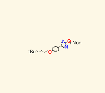 CCCCCCCCCOc1ncc(-c2ccc(OCCCCCC(C)(C)C)cc2)cn1